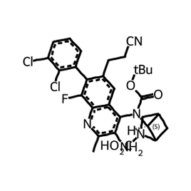 Cc1nc2c(F)c(-c3cccc(Cl)c3Cl)c(CCC#N)cc2c(N(C(=O)OC(C)(C)C)[C@H]2C3CC2N(C(=O)O)C3)c1N